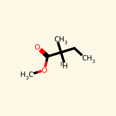 [3H]C(C)(CC)C(=O)OC